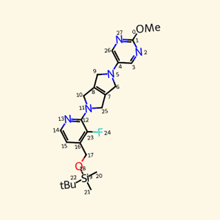 COc1ncc(N2CC3=C(C2)CN(c2nccc(CO[Si](C)(C)C(C)(C)C)c2F)C3)cn1